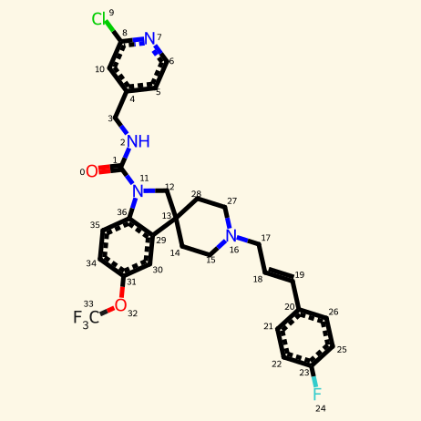 O=C(NCc1ccnc(Cl)c1)N1CC2(CCN(CC=Cc3ccc(F)cc3)CC2)c2cc(OC(F)(F)F)ccc21